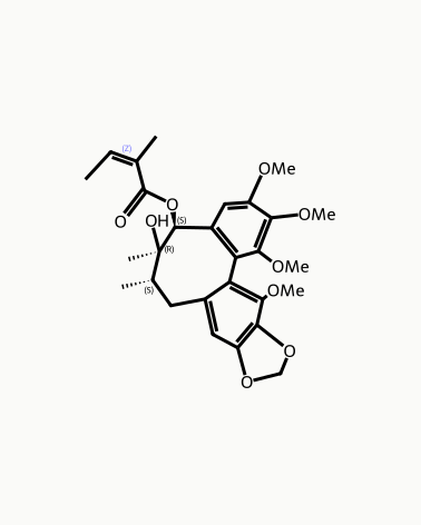 C/C=C(/C)C(=O)O[C@H]1c2cc(OC)c(OC)c(OC)c2-c2c(cc3c(c2OC)OCO3)C[C@H](C)[C@@]1(C)O